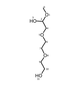 COC(O)COCCOCCO